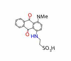 CNc1ccc(NCCS(=O)(=O)O)c2c1C(=O)c1ccccc1C2=O